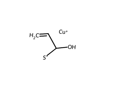 C=CC(O)[S-].[Cu+]